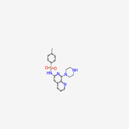 Cc1ccc(S(=O)(=O)Nc2cc3cccnc3c(N3CCNCC3)n2)cc1